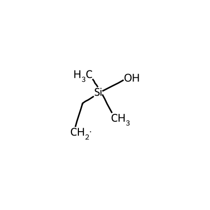 [CH2]C[Si](C)(C)O